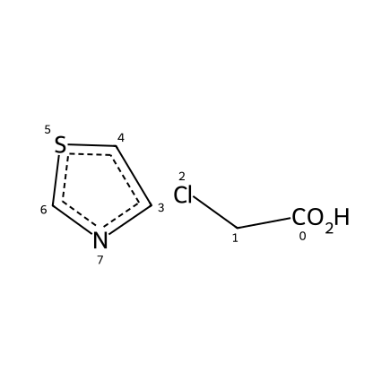 O=C(O)CCl.c1cscn1